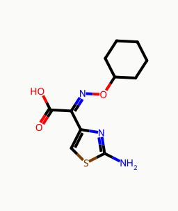 Nc1nc(/C(=N\OC2CCCCC2)C(=O)O)cs1